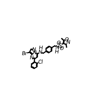 Cc1noc(C)c1S(=O)(=O)NCc1ccc(CNc2cc(-c3ccccc3Cl)nc3c(Br)cnn23)cc1